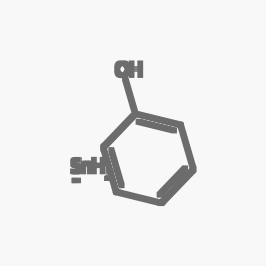 Oc1ccccc1.[SnH2]